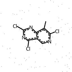 Cc1c(Cl)ncc2c(Cl)nc(Cl)nc12